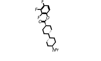 CCC[C@H]1CC[C@H]([C@H]2CC[C@H](C(=O)Oc3ccc(F)c(F)c3F)CC2)CC1